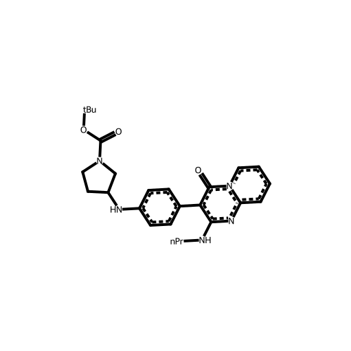 CCCNc1nc2ccccn2c(=O)c1-c1ccc(NC2CCN(C(=O)OC(C)(C)C)C2)cc1